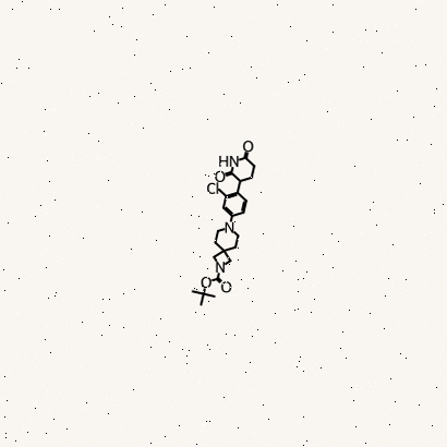 CC(C)(C)OC(=O)N1CC2(CCN(c3ccc(C4CCC(=O)NC4=O)c(Cl)c3)CC2)C1